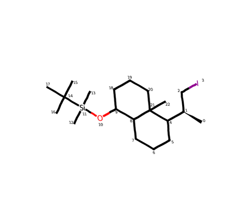 C[C@H](CI)C1CCCC2C(O[Si](C)(C)C(C)(C)C)CCCC21C